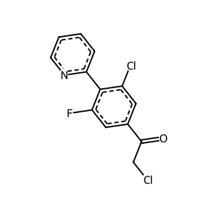 O=C(CCl)c1cc(F)c(-c2ccccn2)c(Cl)c1